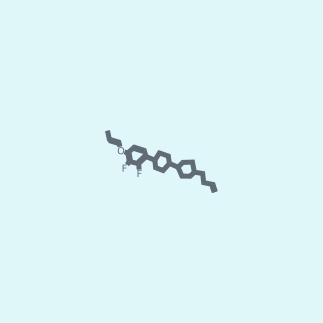 C=CCCC1CCC(C2CCC(c3ccc(O/C=C/C)c(F)c3F)CC2)CC1